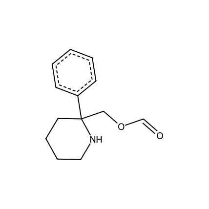 O=COCC1(c2ccccc2)CCCCN1